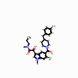 CN(CCC#N)C(=O)C(=O)c1cn(C)c2cc(Cl)c(C(=O)N3CCC(Cc4ccc(F)cc4)CC3)cc12